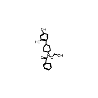 O=C(c1ccccc1)N(OCO)C1CCC(c2ccc(O)cc2O)CC1